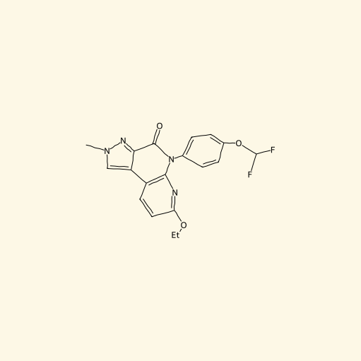 CCOc1ccc2c3cn(C)nc3c(=O)n(-c3ccc(OC(F)F)cc3)c2n1